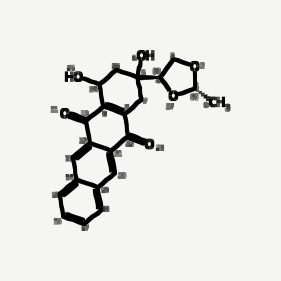 C[C@H]1OC[C@H](C2(O)CC3=C(C(=O)c4cc5ccccc5cc4C3=O)C(O)C2)O1